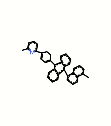 Cc1cccc(C2=CC=C(c3c4ccccc4c(-c4cccc5c(C)cccc45)c4ccccc34)CC2)n1